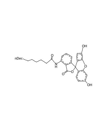 CCCCCCCCCCCCCCCC(=O)Nc1cccc2c1C(=O)OC21c2ccc(O)cc2Oc2cc(O)ccc21